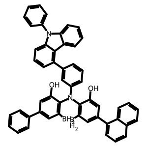 Bc1cc(-c2ccccc2)cc(O)c1N(c1cccc(-c2cccc3c2c2ccccc2n3-c2ccccc2)c1)c1c(B)cc(-c2cccc3ccccc23)cc1O